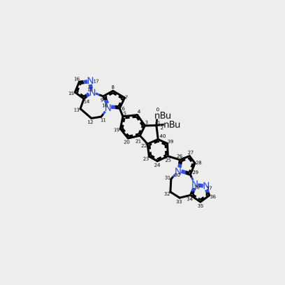 CCCCC1(CCCC)c2cc(-c3ccc4n3CCCc3ccnn3-4)ccc2-c2ccc(-c3ccc4n3CCCc3ccnn3-4)cc21